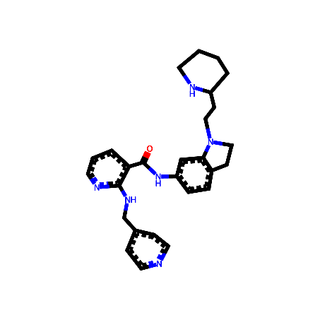 O=C(Nc1ccc2c(c1)N(CCC1CCCCN1)CC2)c1cccnc1NCc1ccncc1